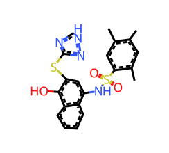 Cc1cc(C)c(S(=O)(=O)Nc2cc(Sc3nc[nH]n3)c(O)c3ccccc23)cc1C